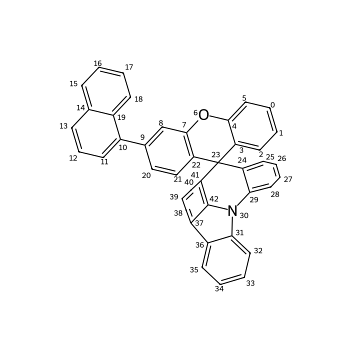 c1ccc2c(c1)Oc1cc(-c3cccc4ccccc34)ccc1C21c2ccccc2-n2c3ccccc3c3cccc1c32